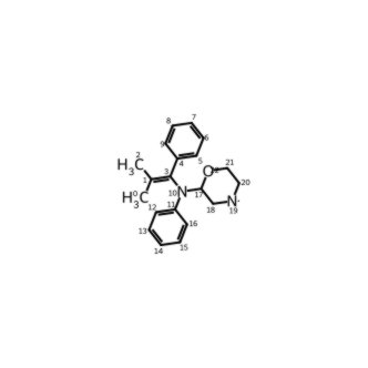 CC(C)=C(c1ccccc1)N(c1ccccc1)C1C[N]CCO1